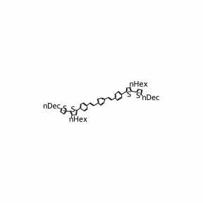 CCCCCCCCCCc1ccc(-c2sc(-c3ccc(/C=C/c4ccc(/C=C/c5ccc(-c6cc(CCCCCC)c(-c7ccc(CCCCCCCCCC)s7)s6)cc5)cc4)cc3)cc2CCCCCC)s1